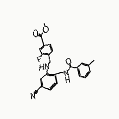 COC(=O)c1ccc(CNc2cc(C#N)ccc2CNC(=O)c2cccc(C)c2)c(F)c1